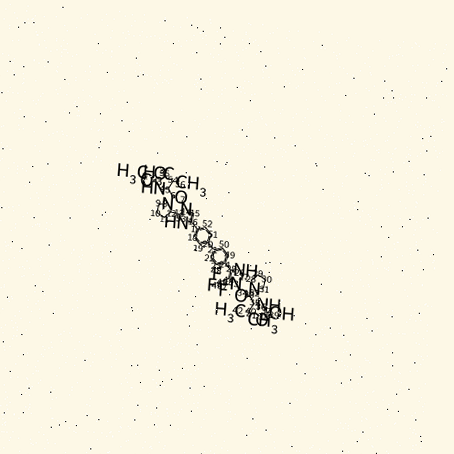 COC(=O)N[C@H](C(=O)N1CCCC1c1ncc(-c2ccc(-c3ccc(-c4[nH]c([C@@H]5CCCN5C(=O)[C@@H](NC(=O)O)C(C)C)nc4C(F)(F)F)cc3)cc2)[nH]1)C(C)C